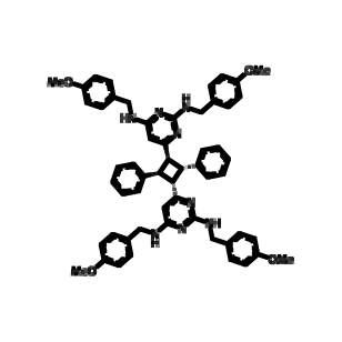 COc1ccc(CNc2cc([C@H]3[C@H](c4ccccc4)[C@H](c4cc(NCc5ccc(OC)cc5)nc(NCc5ccc(OC)cc5)n4)[C@H]3c3ccccc3)nc(NCc3ccc(OC)cc3)n2)cc1